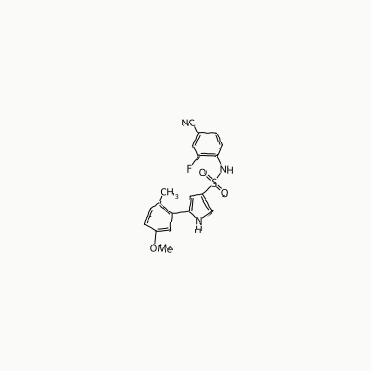 COc1ccc(C)c(-c2cc(S(=O)(=O)Nc3ccc(C#N)cc3F)c[nH]2)c1